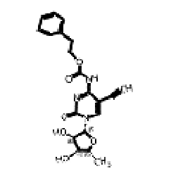 C#Cc1cn([C@@H]2O[C@H](C)[C@@H](O)[C@H]2O)c(=O)nc1NC(=O)OCCc1ccccc1